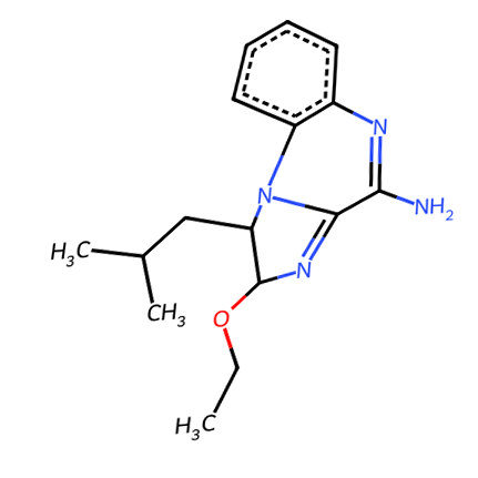 CCOC1N=C2C(N)=Nc3ccccc3N2C1CC(C)C